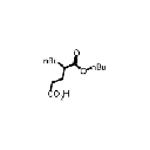 CCCCOC(=O)C(CCCC)CCC(=O)O